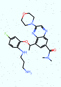 CC(Oc1cc(F)ccc1NCCCN)c1cc(C(=O)N(C)C)cc2ncc(N3CCOCC3)nc12